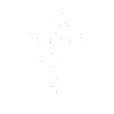 N#CCC(N)C(=O)N[C@](Cc1ccccc1)(c1ccc(F)cc1)c1cc(F)cc(OC(F)(F)C(F)F)c1